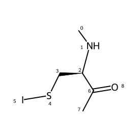 CN[C@H](CSI)C(C)=O